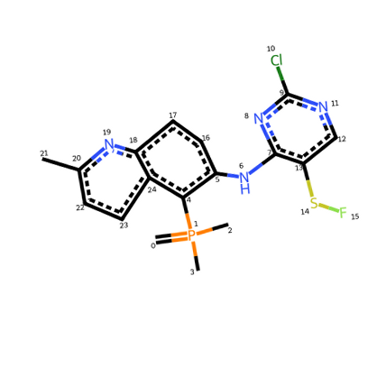 C=P(C)(C)c1c(Nc2nc(Cl)ncc2SF)ccc2nc(C)ccc12